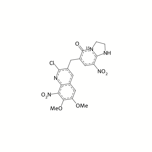 COc1cc2cc(Cc3cc([N+](=O)[O-])c4[15n](c3=O)CCN4)c(Cl)nc2c([N+](=O)[O-])c1OC